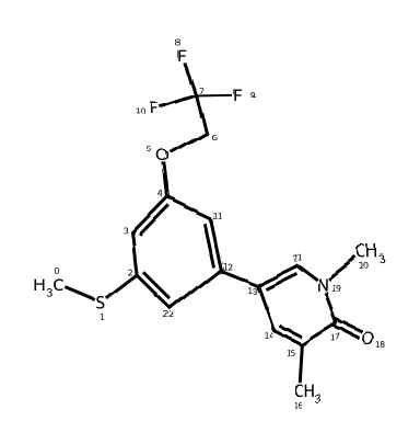 CSc1cc(OCC(F)(F)F)cc(-c2cc(C)c(=O)n(C)c2)c1